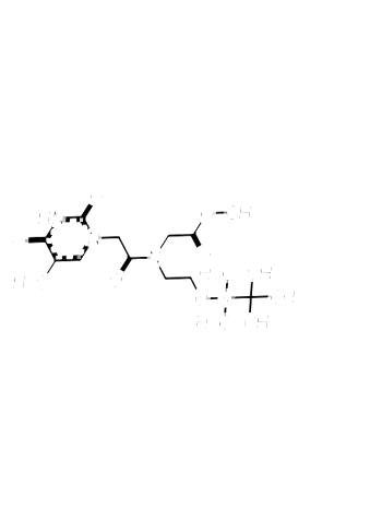 COC(=O)CN(CCO[Si](C)(C)C(C)(C)C)C(=O)Cn1cc(C)c(=O)[nH]c1=O